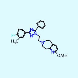 COc1ccc2c(n1)CCN(CCn1nc(-c3ccc(F)c(C)c3)nc1-c1ccccc1)CC2